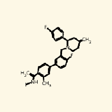 C=C1CCN(Cc2cc(-c3ccc(C(=C)NI)c(C)c3)ccc2F)C(c2ccc(F)cc2)C1